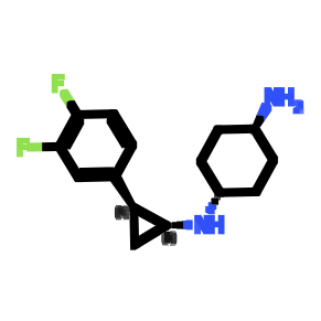 N[C@H]1CC[C@H](N[C@@H]2C[C@H]2c2ccc(F)c(F)c2)CC1